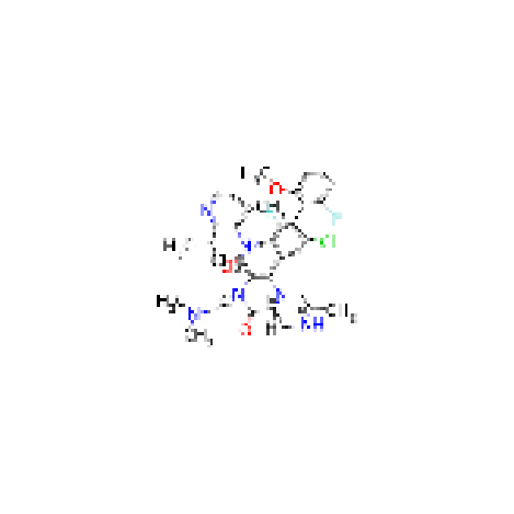 COc1cccc(F)c1-c1c(Cl)cc2c3c(c(=O)n(-c4c(C)ccnc4C(C)C)c2c1F)N(CCN(C)C)C(=O)[C@H]1CN[C@H](C)CN31